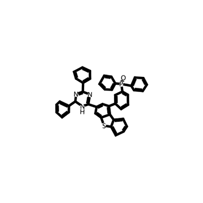 O=P(c1ccccc1)(c1ccccc1)c1cccc(-c2cc(C3=NC(c4ccccc4)=NC(c4ccccc4)N3)cc3sc4ccccc4c23)c1